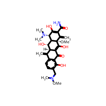 C=C1c2ccc(CN(C)OC)c(O)c2C(=O)C2=C(O)[C@]3(OC)C(=C)C(C(N)=O)=C(O)[C@@H](N(C)C)C3[C@@H](O)[C@H]12